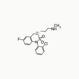 CNCCC[C@H]1Cc2cc(F)ccc2N(c2ccccc2Cl)S1(=O)=O